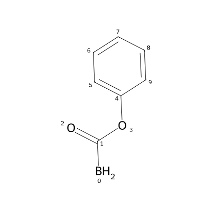 BC(=O)Oc1ccccc1